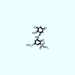 NS(=O)(=O)c1cc(C(=O)O)cc(NCc2cc(Cl)cc(Cl)c2O)c1Cl